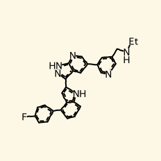 CCNCc1cncc(-c2cnc3[nH]nc(-c4cc5c(-c6ccc(F)cc6)cccc5[nH]4)c3c2)c1